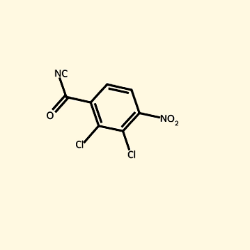 [C-]#[N+]C(=O)c1ccc([N+](=O)[O-])c(Cl)c1Cl